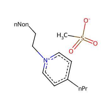 CCCCCCCCCCC[n+]1ccc(CCC)cc1.CS(=O)(=O)[O-]